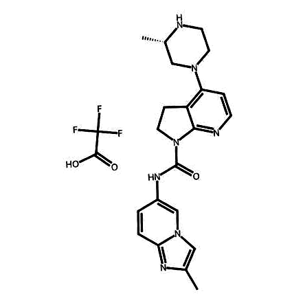 Cc1cn2cc(NC(=O)N3CCc4c(N5CCN[C@@H](C)C5)ccnc43)ccc2n1.O=C(O)C(F)(F)F